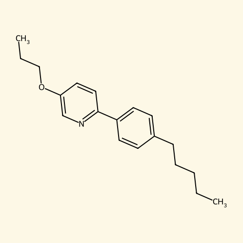 CCCCCc1ccc(-c2ccc(OCCC)cn2)cc1